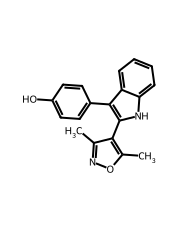 Cc1noc(C)c1-c1[nH]c2ccccc2c1-c1ccc(O)cc1